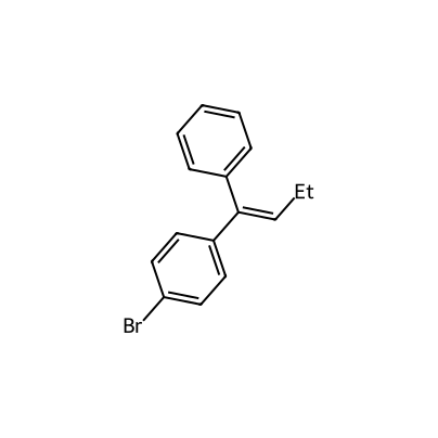 CC/C=C(\c1ccccc1)c1ccc(Br)cc1